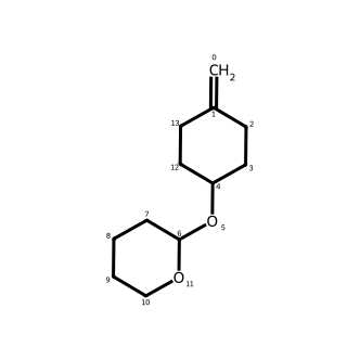 C=C1CCC(OC2CCCCO2)CC1